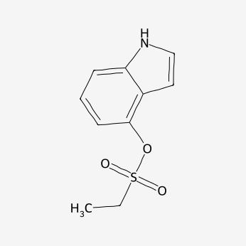 CCS(=O)(=O)Oc1cccc2[nH]ccc12